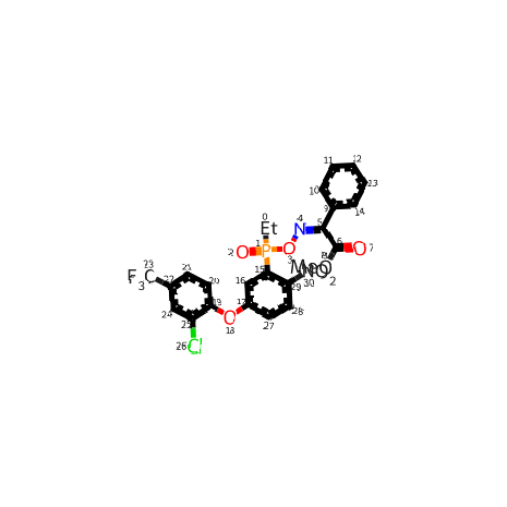 CCP(=O)(ON=C(C(=O)OC)c1ccccc1)c1cc(Oc2ccc(C(F)(F)F)cc2Cl)ccc1[N+](=O)[O-]